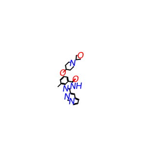 Cc1cc(OC2CCN(C3COC3)CC2)cc2c(=O)[nH]c(-c3cc4cccn4cn3)nc12